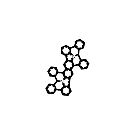 c1ccc2c(c1)-c1cccc3c4cc5c6c7c(cc5c5c4n(c13)C2c1ccccc1-5)c1cccc2c1n7C(c1ccccc1-2)c1ccccc1-6